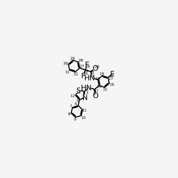 O=C(Nc1nc(-c2ccccc2)cs1)c1ccc(F)cc1NC(=O)C(F)(F)c1ccccc1